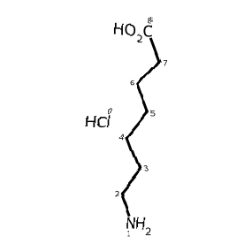 Cl.NCCCCCCC(=O)O